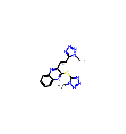 Cn1nnnc1/C=C/c1nc2ccccc2nc1Sc1nnnn1C